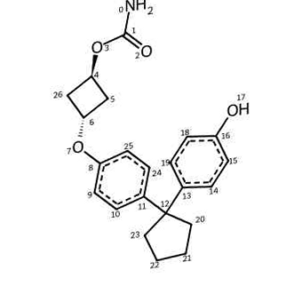 NC(=O)O[C@H]1C[C@H](Oc2ccc(C3(c4ccc(O)cc4)CCCC3)cc2)C1